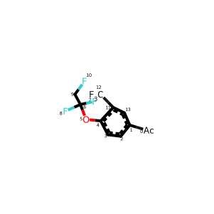 CC(=O)c1ccc(OC(F)(F)CF)c(C(F)(F)F)c1